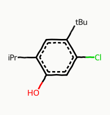 CC(C)c1cc(C(C)(C)C)c(Cl)cc1O